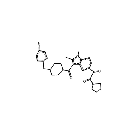 Cc1c(C(=O)N2CCC(Cc3ccc(F)cc3)CC2)c2cc(C(=O)C(=O)N3CCCC3)ccc2n1C